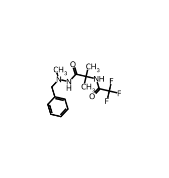 CN(Cc1ccccc1)NC(=O)C(C)(C)NC(=O)C(F)(F)F